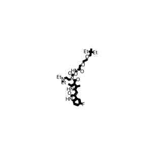 CCN(CC)CCN(C(=O)ONC(=O)COCCOCC(C)(CC)CC)C(=O)c1c(C)[nH]c(/C=C2\C(=O)Nc3ccc(F)cc32)c1C